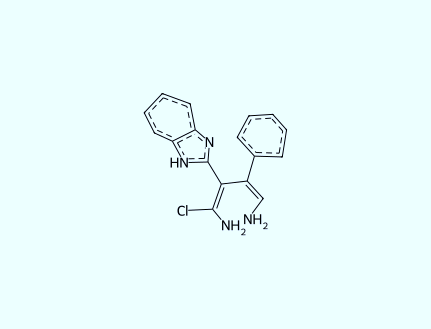 N/C=C(\C(=C(/N)Cl)c1nc2ccccc2[nH]1)c1ccccc1